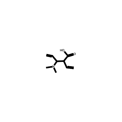 C=CC(C(=O)O)C(C=C)N(C)C